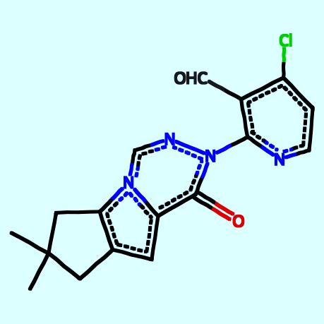 CC1(C)Cc2cc3c(=O)n(-c4nccc(Cl)c4C=O)ncn3c2C1